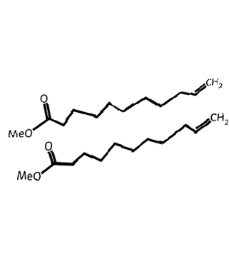 C=CCCCCCCCCC(=O)OC.C=CCCCCCCCCC(=O)OC